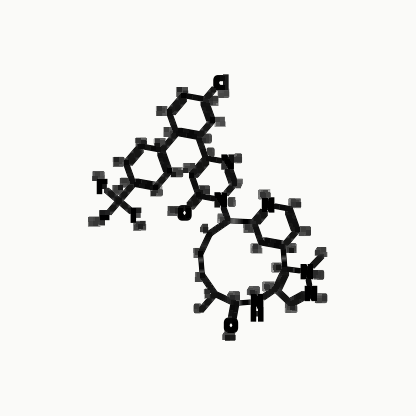 CC1CCCC(n2cnc(-c3cc(Cl)ccc3-c3ccc(C(F)(F)F)cc3)cc2=O)c2cc(ccn2)-c2c(cnn2C)NC1=O